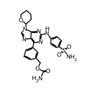 NC(=O)OCc1cccc(-c2nc(Nc3ccc(S(N)(=O)=O)cc3)nc3c2ncn3C2CCCCO2)c1